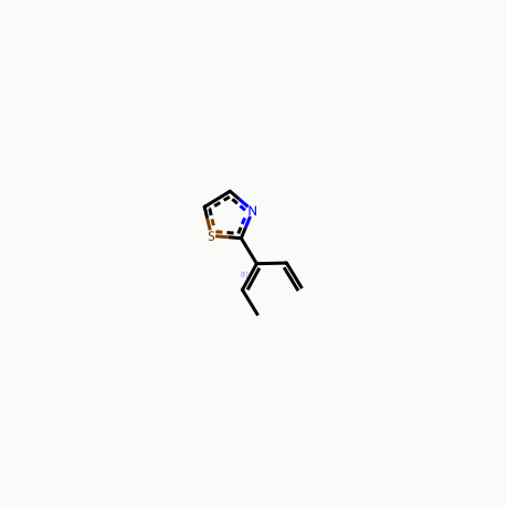 C=C/C(=C\C)c1nccs1